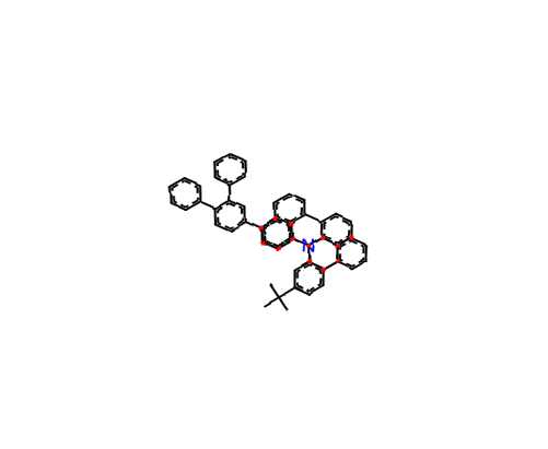 CC(C)(C)c1ccc(-c2ccccc2)c(N(c2ccc(-c3ccc(-c4ccccc4)c(-c4ccccc4)c3)cc2)c2ccccc2-c2cccc3cccc(C4CCCCC4)c23)c1